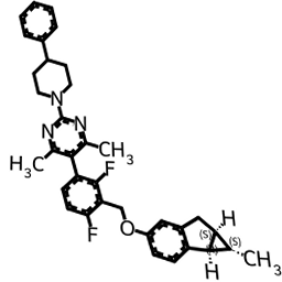 Cc1nc(N2CCC(c3ccccc3)CC2)nc(C)c1-c1ccc(F)c(COc2ccc3c(c2)C[C@H]2[C@H](C)[C@@H]32)c1F